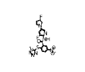 Cn1nnnc1Sc1ccc([N+](=O)[O-])cc1C(=O)Nc1ncc(N2CC[C@@H](F)C2)cc1F